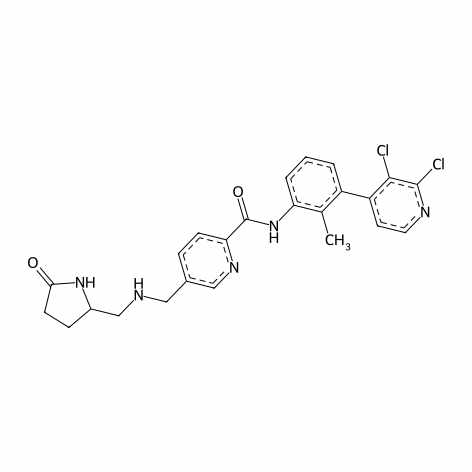 Cc1c(NC(=O)c2ccc(CNCC3CCC(=O)N3)cn2)cccc1-c1ccnc(Cl)c1Cl